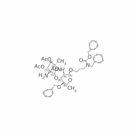 CC(=O)N[C@H]1[C@@H](OCCCN(Cc2ccccc2)C(=O)OCc2ccccc2)O[C@H](C)[C@@H](OCc2ccccc2)[C@@H]1O[C@@H]1O[C@@H](C)[C@@H](OC(C)=O)[C@@H](OC(C)=O)[C@@H]1N